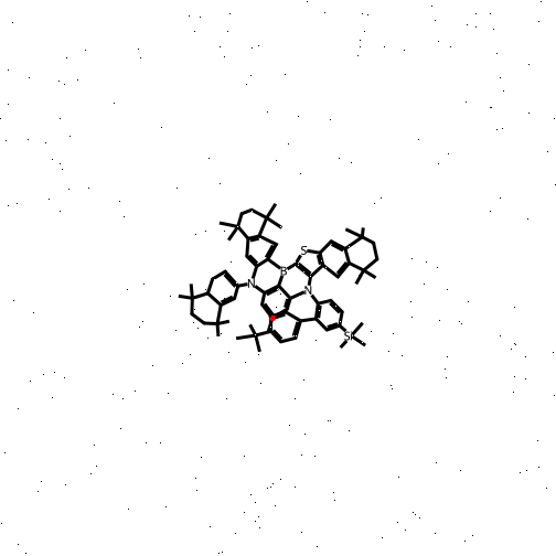 Cc1cc2c3c(c1)N(c1ccc([Si](C)(C)C)cc1-c1ccc(C(C)(C)C)cc1)c1c(sc4cc5c(cc14)C(C)(C)CCC5(C)C)B3c1cc3c(cc1N2C1=CCC2C(=C1)C(C)(C)CCC2(C)C)C(C)(C)CCC3(C)C